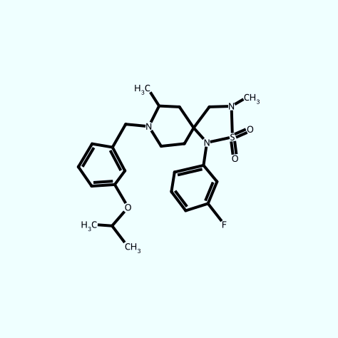 CC(C)Oc1cccc(CN2CCC3(CC2C)CN(C)S(=O)(=O)N3c2cccc(F)c2)c1